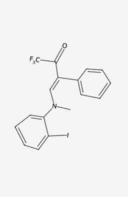 CN(/C=C(/C(=O)C(F)(F)F)c1ccccc1)c1ccccc1I